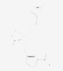 NC(=O)c1cccc(CCN2C(=O)CC[C@@H]2COCc2ccc(C(=O)O)s2)c1